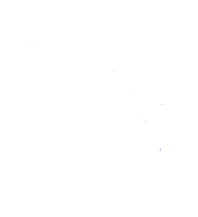 COCCOC(=O)c1ccc(NC(=O)CN2CC[C@@H](NC(=O)c3cc(Cl)c(N)[nH]c3=O)[C@@H](OC)C2)cc1